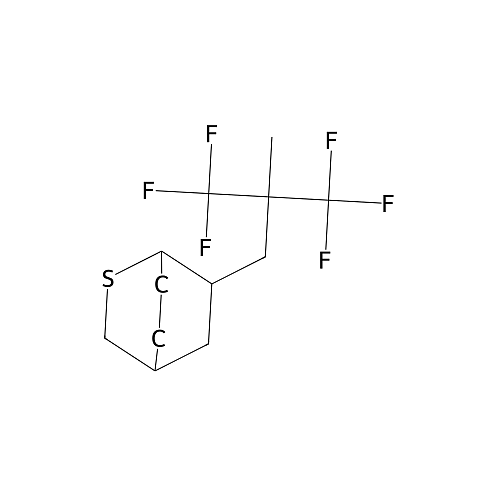 CC(CC1CC2CCC1SC2)(C(F)(F)F)C(F)(F)F